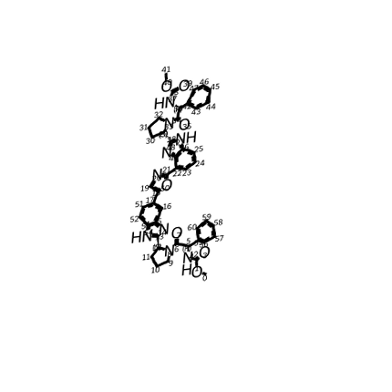 COC(=O)N[C@@H](C(=O)N1CCC[C@H]1c1nc2cc(-c3cnc(-c4cccc5[nH]c([C@@H]6CCCN6C(=O)[C@H](NC(=O)OC)c6ccccc6)nc45)o3)ccc2[nH]1)c1ccccc1